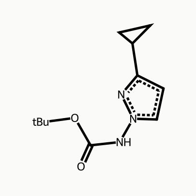 CC(C)(C)OC(=O)Nn1ccc(C2CC2)n1